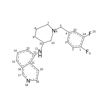 Fc1ccc(CN2CCCC(Nc3cccc4cnccc34)C2)cc1F